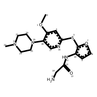 COc1cc(Sc2occc2NC(=O)CN)ncc1N1CCN(C)CC1